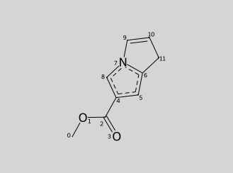 COC(=O)c1cc2n(c1)C=CC2